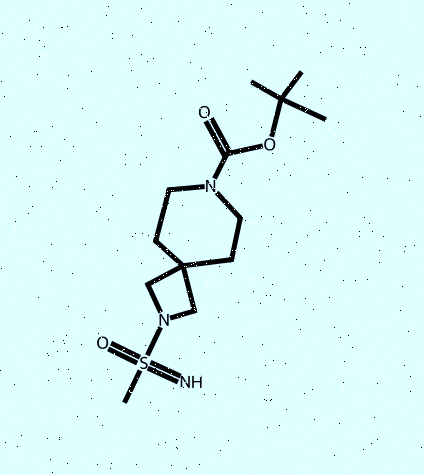 CC(C)(C)OC(=O)N1CCC2(CC1)CN(S(C)(=N)=O)C2